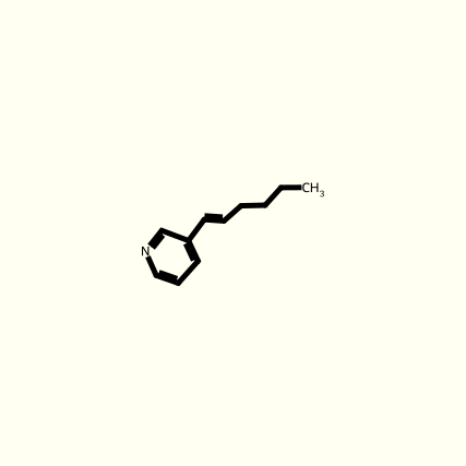 CCCCC=Cc1cccnc1